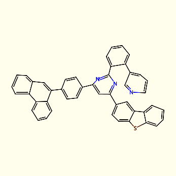 c1cncc(-c2ccccc2-c2nc(-c3ccc(-c4cc5ccccc5c5ccccc45)cc3)cc(-c3ccc4sc5ccccc5c4c3)n2)c1